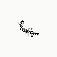 CC(C)(C)OC(=O)N1CC(OC2CCN(S(=O)(=O)NC(=O)c3cc(C4CC4)c(OCC4CC4)cc3F)CC2)C1